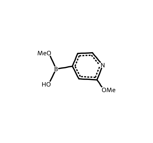 COB(O)c1ccnc(OC)c1